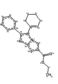 CCOC(=O)c1cn2c(C3=CCCCC3)c(-c3ccccc3)nc2s1